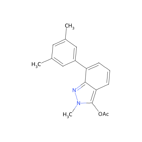 CC(=O)Oc1c2cccc(-c3cc(C)cc(C)c3)c2nn1C